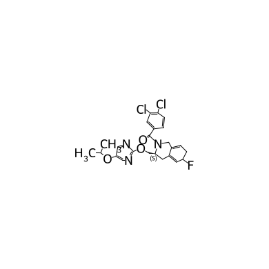 CC(C)Oc1cnc(OC[C@@H]2CC3=CC(F)CC=C3CN2C(=O)c2ccc(Cl)c(Cl)c2)nc1